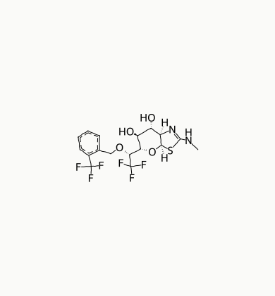 CNC1=N[C@@H]2[C@@H](O)[C@H](O)[C@@H]([C@@H](OCc3ccccc3C(F)(F)F)C(F)(F)F)O[C@@H]2S1